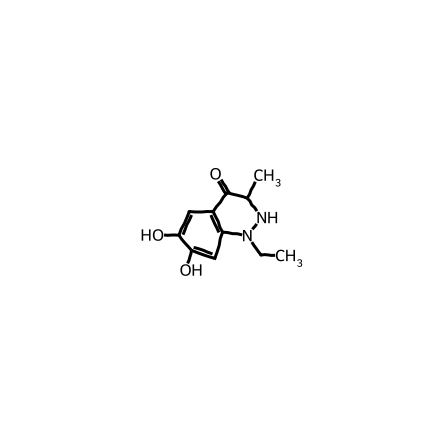 CCN1NC(C)C(=O)c2cc(O)c(O)cc21